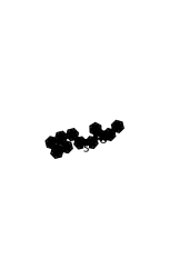 c1ccc(-c2ccc3oc4c(c3c2)c2ccccc2n4-c2ccc3sc4ccc(-c5cccc(-c6cccc([Si](c7ccccc7)(c7ccccc7)c7ccccc7)c6)c5)cc4c3c2)cc1